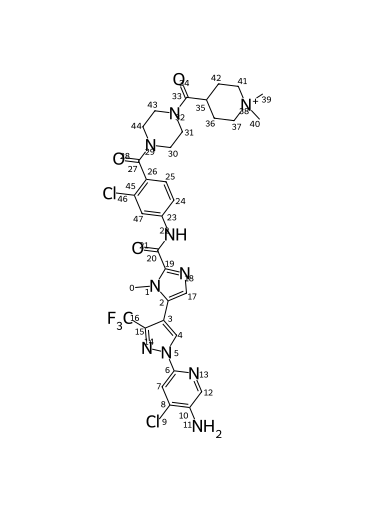 Cn1c(-c2cn(-c3cc(Cl)c(N)cn3)nc2C(F)(F)F)cnc1C(=O)Nc1ccc(C(=O)N2CCN(C(=O)C3CC[N+](C)(C)CC3)CC2)c(Cl)c1